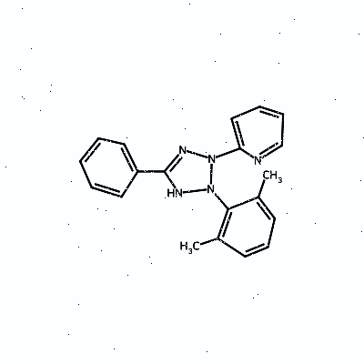 Cc1cccc(C)c1N1NC(c2ccccc2)=NN1c1ccccn1